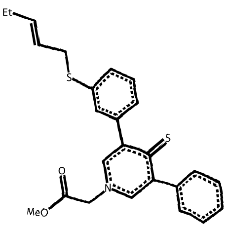 CCC=CCSc1cccc(-c2cn(CC(=O)OC)cc(-c3ccccc3)c2=S)c1